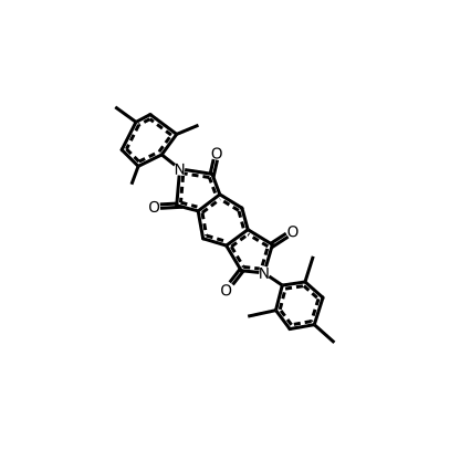 Cc1cc(C)c(-n2c(=O)c3cc4c(=O)n(-c5c(C)cc(C)cc5C)c(=O)c4cc3c2=O)c(C)c1